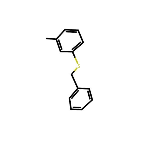 Cc1cccc(SCc2ccccc2)c1